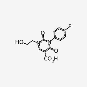 O=C(O)c1cn(CCO)c(=O)n(-c2ccc(F)cc2)c1=O